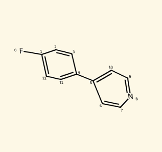 Fc1ccc(-c2ccncc2)cc1